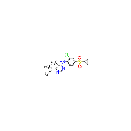 Cc1c(Nc2ccc(S(=O)(=O)C3CC3)cc2Cl)ncnc1C(C)C